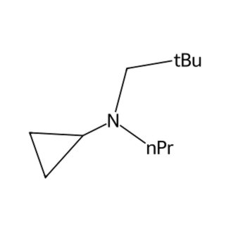 CCCN(CC(C)(C)C)C1CC1